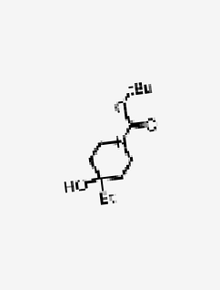 CCC1(O)CCN(C(=O)OC(C)(C)C)CC1